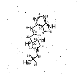 CN(c1ncnc2[nH]ccc12)[C@H]1C[C@@H]2CN(CC(C)(C)O)C[C@@H]2C1